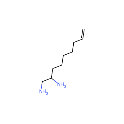 C=CCCCCCC(N)CN